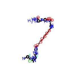 Cc1nc2cc(F)c(-c3cnc(N4CCN(C(=O)COCCOCCOCCOCCOCCOCCn5cc(CC[C@H](NC(=O)c6ccc(N(C)Cc7ccc8nc(N)[nH]c(=O)c8c7)cc6)C(=O)O)nn5)CC4)nc3)nc2c(N[C@H](C)c2cc(C#N)ccc2F)c1Cl